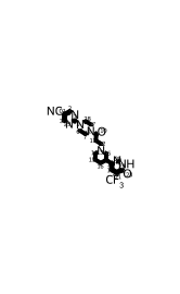 N#Cc1cnc(N2CCN(C(=O)CCN3CCCC(c4cc(C(F)(F)F)c(=O)[nH]n4)C3)CC2)nc1